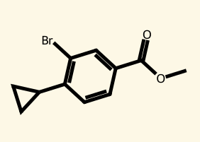 COC(=O)c1ccc(C2CC2)c(Br)c1